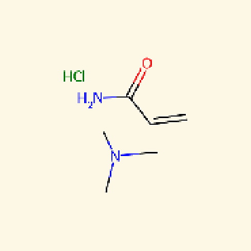 C=CC(N)=O.CN(C)C.Cl